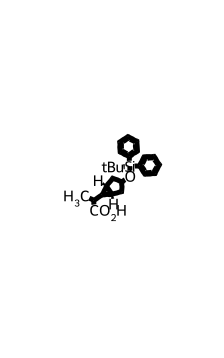 CC(C(=O)O)C1[C@H]2CC(O[Si](c3ccccc3)(c3ccccc3)C(C)(C)C)C[C@@H]12